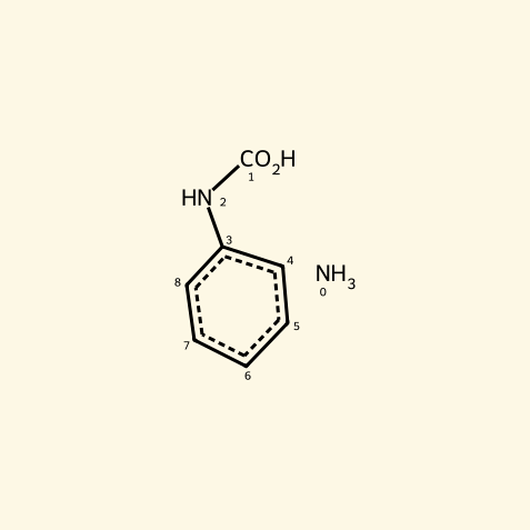 N.O=C(O)Nc1ccccc1